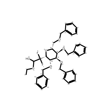 CCOC(O)C(F)(F)[C@@H]1O[C@H](COCc2ccccc2)[C@@H](OCc2ccccc2)[C@@H](OCc2ccccc2)[C@@H]1OCc1ccccc1